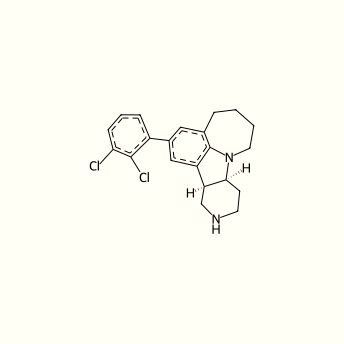 Clc1cccc(-c2cc3c4c(c2)[C@@H]2CNCC[C@@H]2N4CCCC3)c1Cl